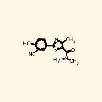 Cc1nc(-c2ccc(O)c(C#N)c2)sc1C(=O)N(C)C